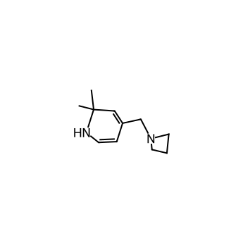 CC1(C)C=C(CN2CCC2)C=CN1